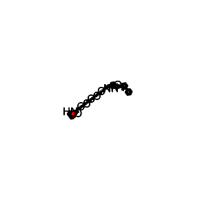 Cc1c(COc2ccc(CNCCOCCOCCOCCOCCOCCC(=O)NC34CC5CC(CC(C5)C3)C4)cn2)cccc1-c1ccccc1